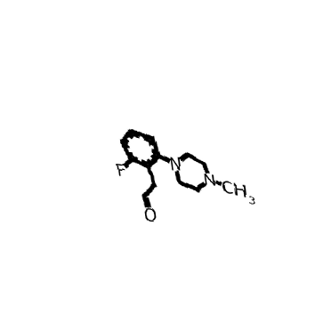 CN1CCN(c2cccc(F)c2CC=O)CC1